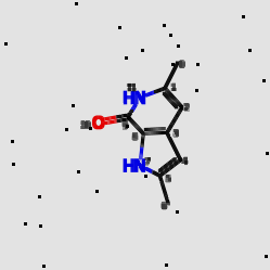 Cc1cc2cc(C)[nH]c2c(=O)[nH]1